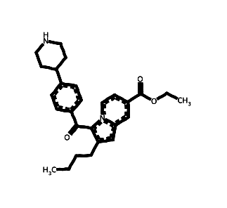 CCCCc1cc2cc(C(=O)OCC)ccn2c1C(=O)c1ccc(C2CCNCC2)cc1